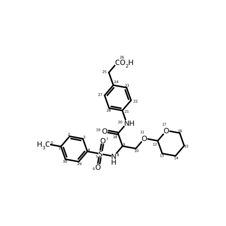 Cc1ccc(S(=O)(=O)NC(COC2CCCCO2)C(=O)Nc2ccc(CC(=O)O)cc2)cc1